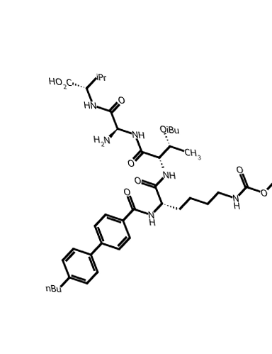 CCCCc1ccc(-c2ccc(C(=O)N[C@@H](CCCCNC(=O)OC(C)(C)C)C(=O)N[C@H](C(=O)N[C@@H](N)C(=O)N[C@H](C(=O)O)C(C)C)[C@@H](C)OCC(C)C)cc2)cc1